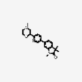 CN1C(=O)C(C)(C)c2ccc(-c3ccc(C4CNCCO4)nc3)cc21